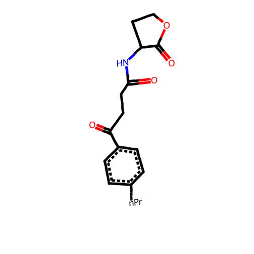 CCCc1ccc(C(=O)CCC(=O)NC2CCOC2=O)cc1